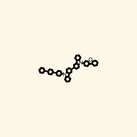 c1ccc(-c2ccc(-c3ccc(-n4c5ccccc5c5cc(-c6ccc7c(c6)c6ccccc6n7-c6ccc7c(c6)oc6ccccc67)ccc54)cc3)cc2)cc1